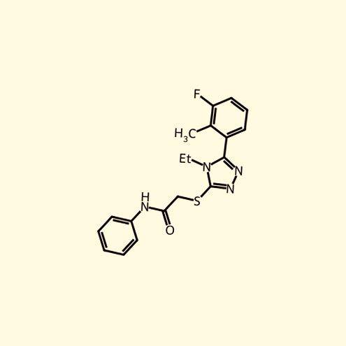 CCn1c(SCC(=O)Nc2ccccc2)nnc1-c1cccc(F)c1C